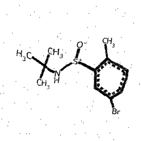 Cc1ccc(Br)cc1[S+]([O-])NC(C)(C)C